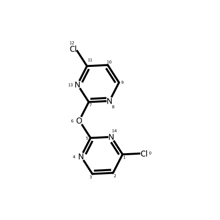 Clc1ccnc(Oc2nccc(Cl)n2)n1